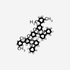 Cc1ccc(C)c(-c2cc3c4c(c2)-n2c5ccccc5c5cccc(c52)B4c2cc4c(cc2O3)Oc2cc(-c3cc(C)ccc3C)cc3c2B4c2cccc4c5ccccc5n-3c24)c1